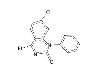 CCc1nc(=O)n(-c2ccccc2)c2cc(Cl)ccc12